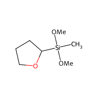 CO[Si](C)(OC)C1CCCO1